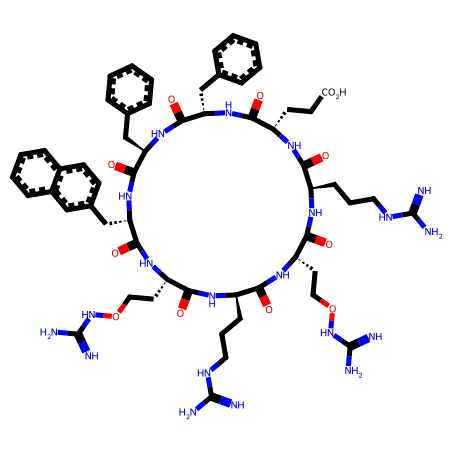 N=C(N)NCCC[C@H]1NC(=O)[C@H](CCONC(=N)N)NC(=O)[C@@H](CCCNC(=N)N)NC(=O)[C@H](CCONC(=N)N)NC(=O)[C@H](Cc2ccc3ccccc3c2)NC(=O)[C@@H](Cc2ccccc2)NC(=O)[C@H](Cc2ccccc2)NC(=O)[C@H](CCC(=O)O)NC1=O